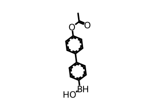 CC(=O)Oc1ccc(-c2ccc(BO)cc2)cc1